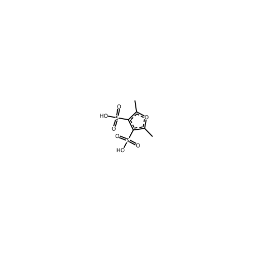 Cc1oc(C)c(S(=O)(=O)O)c1S(=O)(=O)O